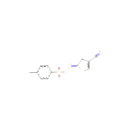 Cc1ccc(S(=O)(=O)ON=C2CC(C#N)=CS2)cc1